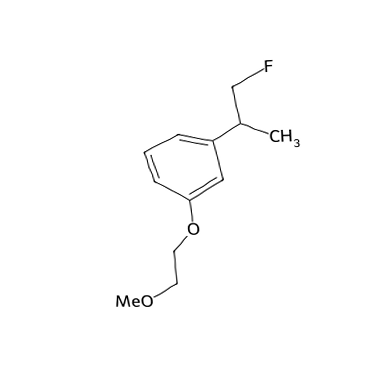 COCCOc1cccc(C(C)CF)c1